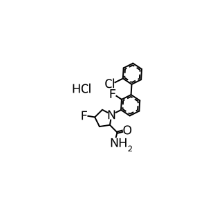 Cl.NC(=O)C1CC(F)CN1c1cccc(-c2ccccc2Cl)c1F